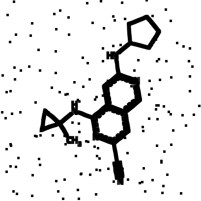 CC1(Nc2nc(C#N)cc3cnc(NC4CCCC4)cc23)CC1